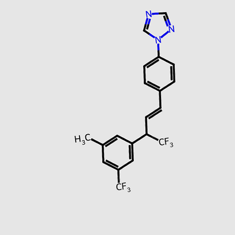 Cc1cc(C(/C=C/c2ccc(-n3cncn3)cc2)C(F)(F)F)cc(C(F)(F)F)c1